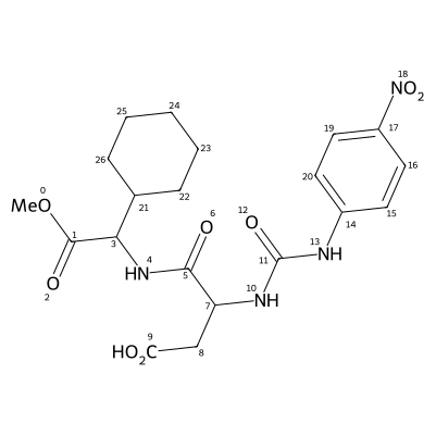 COC(=O)C(NC(=O)C(CC(=O)O)NC(=O)Nc1ccc([N+](=O)[O-])cc1)C1CCCCC1